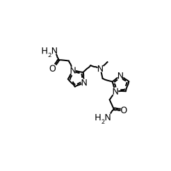 CN(Cc1nccn1CC(N)=O)Cc1nccn1CC(N)=O